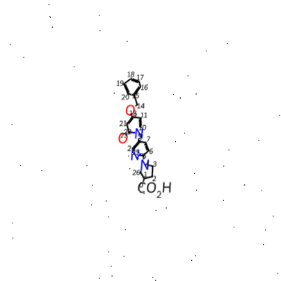 O=C(O)C1CCN(c2ccc(-n3ccc(OCc4ccccc4)cc3=O)cn2)C1